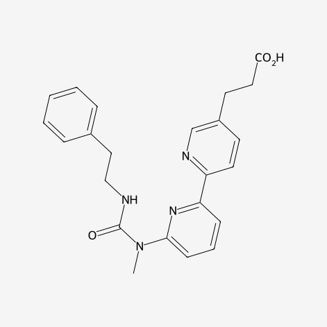 CN(C(=O)NCCc1ccccc1)c1cccc(-c2ccc(CCC(=O)O)cn2)n1